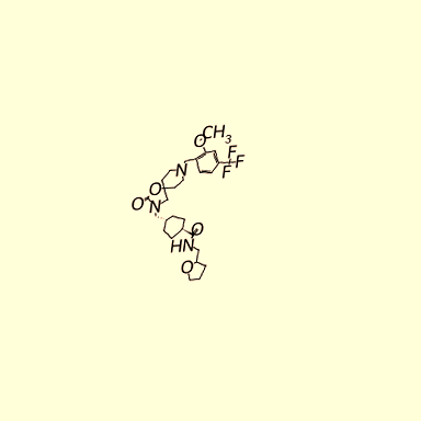 COc1cc(C(F)(F)F)ccc1CN1CCC2(CC1)CN(C[C@H]1CC[C@H](C(=O)NCC3CCCO3)CC1)C(=O)O2